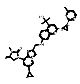 Cc1ccnc([C@H]2C[C@@H]2c2cc(C(C)(C)O)c3ccc(NCc4cn5cc(C6CC6)cc(N6CC(=O)N(C)C6=O)c5n4)cc3n2)n1